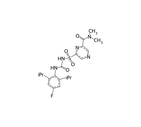 CC(C)c1cc(F)cc(C(C)C)c1NC(=O)NS(=O)(=O)c1cncc(C(=O)N(C)C)n1